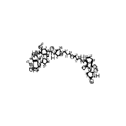 COc1cc(C(=O)NC2CCN(CCCOCCCNc3cccc4c3C(=O)N(C3CCC(=O)NC3=O)C4=O)CC2)c(F)cc1Nc1ncc2c(n1)N(C1CCCC1)CC(F)(F)C(=O)N2C